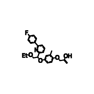 C=C(O)COc1ccc(OC(COCC)c2cccc(-c3ccc(F)cc3)n2)cc1C